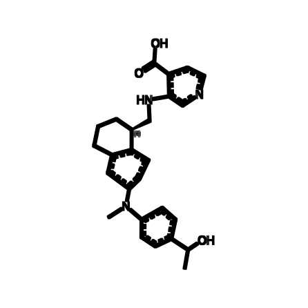 CC(O)c1ccc(N(C)c2ccc3c(c2)CCC[C@H]3CNc2cnccc2C(=O)O)cc1